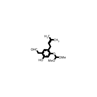 COC(OC)Oc1cc(O)c(CC=O)cc1CC=C(C)C